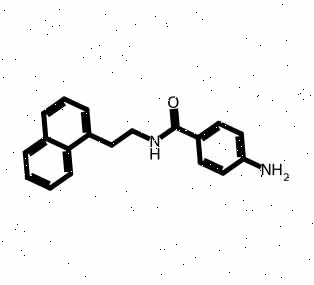 Nc1ccc(C(=O)NCCc2cccc3ccccc23)cc1